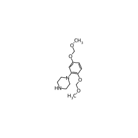 COCOc1ccc(OCOC)c(N2CCNCC2)c1